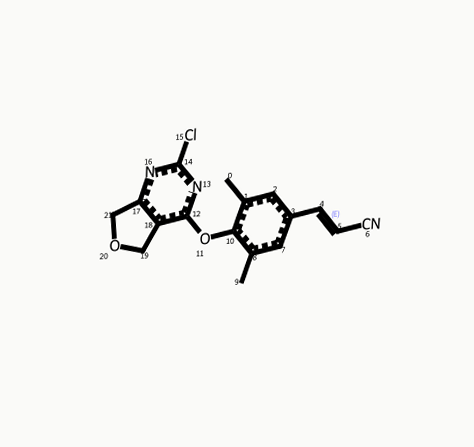 Cc1cc(/C=C/C#N)cc(C)c1Oc1nc(Cl)nc2c1COC2